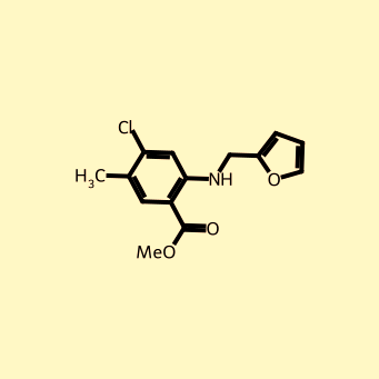 COC(=O)c1cc(C)c(Cl)cc1NCc1ccco1